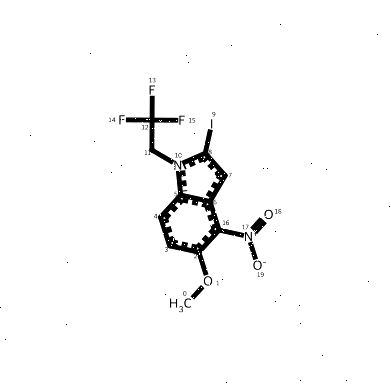 COc1ccc2c(cc(I)n2CC(F)(F)F)c1[N+](=O)[O-]